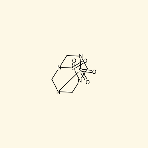 O=S1(=O)N2CN3CN1CN(C2)S3(=O)=O